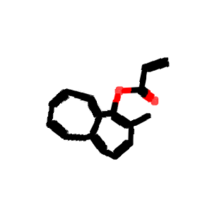 C=CC(=O)OC1=C(C)C=CC=C2C=CC=CC=C21